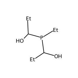 CCC(O)P(CC)C(O)CC